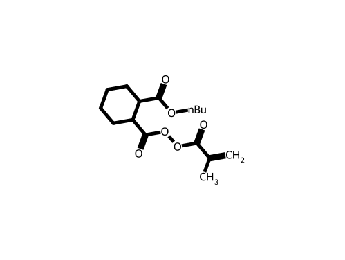 C=C(C)C(=O)OOC(=O)C1CCCCC1C(=O)OCCCC